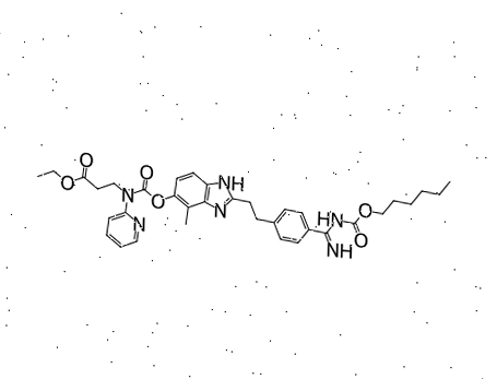 CCCCCCOC(=O)NC(=N)c1ccc(CCc2nc3c(C)c(OC(=O)N(CCC(=O)OCC)c4ccccn4)ccc3[nH]2)cc1